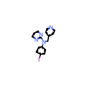 Ic1ccc(N(Cc2ccncc2)c2ncccn2)cc1